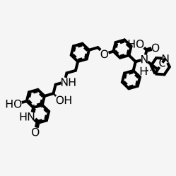 O=C(O)N(C(c1ccccc1)c1cccc(OCc2cccc(CCNC[C@@H](O)c3ccc(O)c4[nH]c(=O)ccc34)c2)c1)[C@H]1CN2CCC1CC2